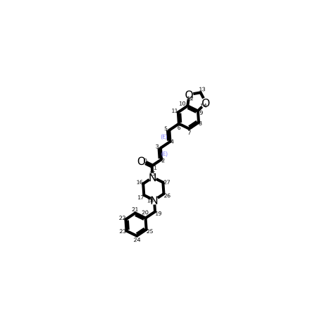 O=C(/C=C/C=C/c1ccc2c(c1)OCO2)N1CCN(Cc2ccccc2)CC1